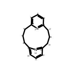 c1cc2nc(c1)CCCc1cccc(n1)CCC2